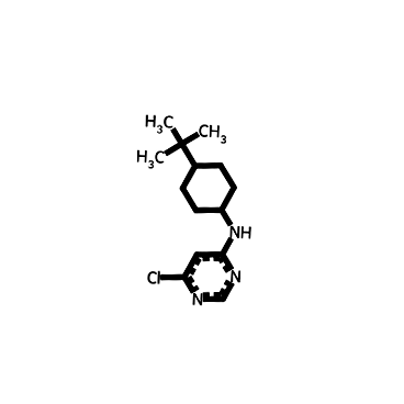 CC(C)(C)C1CCC(Nc2cc(Cl)ncn2)CC1